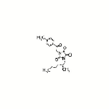 CCCCC(C)CN1C(=O)C(=O)N(CC(=O)c2ccc(C)cc2)C1=O